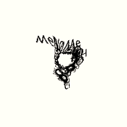 CNC(=O)[C@@H](OC)[C@@H]1/C=C/[C@@H]2CC[C@H]2CN2C[C@@]3(CCCc4cc(Cl)ccc43)COc3ccc(cc32)C(=O)NS(=O)(=O)[C@H](C)[C@@H](C)C1